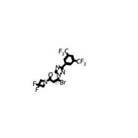 O=C(/C=C(/Br)n1cnc(-c2cc(C(F)(F)F)cc(C(F)(F)F)c2)n1)N1CC(F)(F)C1